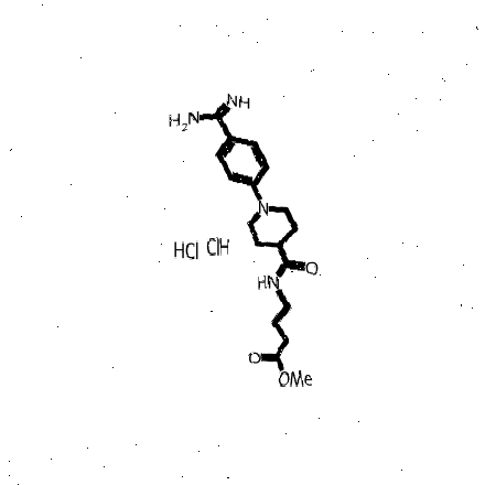 COC(=O)CCCNC(=O)C1CCN(c2ccc(C(=N)N)cc2)CC1.Cl.Cl